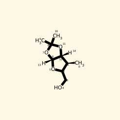 C[C@H]1C(CO)O[C@@H]2OC(C)(C)O[C@@H]21